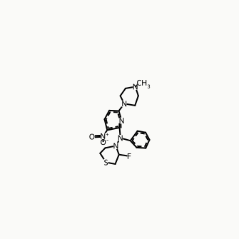 CN1CCN(c2ccc([N+](=O)[O-])c(N(c3ccccc3)N3CCSCC3F)n2)CC1